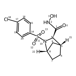 O=C(NO)[C@H]1[C@@H]2CC[C@@H](C2)N1S(=O)(=O)c1ccc(Cl)cc1